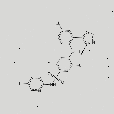 Cn1nccc1-c1cc(Cl)ccc1Oc1cc(F)c(S(=O)(=O)Nc2ccc(F)cn2)cc1Cl